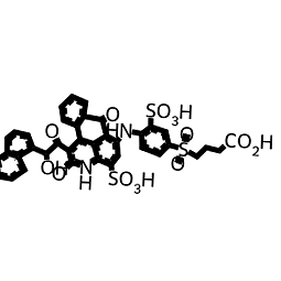 O=C(O)CCCS(=O)(=O)c1ccc(Nc2cc(S(=O)(=O)O)c3[nH]c(=O)c(C(=O)C(O)c4cccc5ccccc45)c4c3c2C(=O)c2ccccc2-4)c(S(=O)(=O)O)c1